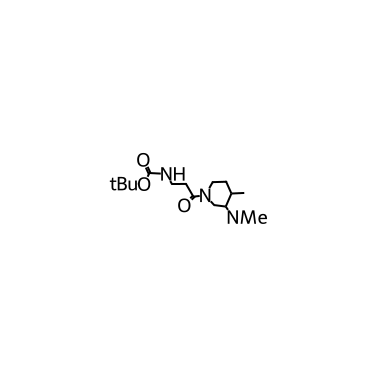 CNC1CN(C(=O)CCNC(=O)OC(C)(C)C)CCC1C